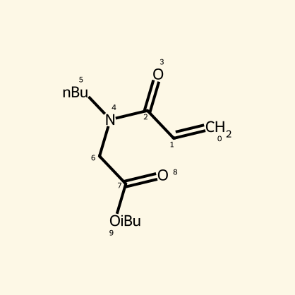 C=CC(=O)N(CCCC)CC(=O)OCC(C)C